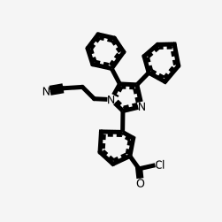 N#CCCn1c(-c2cccc(C(=O)Cl)c2)nc(-c2ccccc2)c1-c1ccccc1